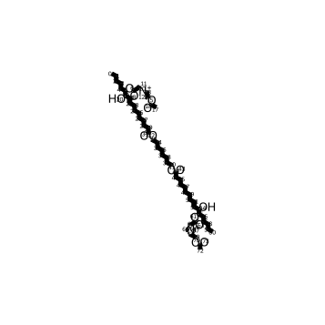 CCCCCC(OC(=O)C[N+](C)(C)CCOC(C)=O)C(O)C=CCCCCCCCC(=O)OCCCCCCCCOC(=O)CCCCCCCC=CC(O)C(CCCCC)OC(=O)C[N+](C)(C)CCOC(C)=O